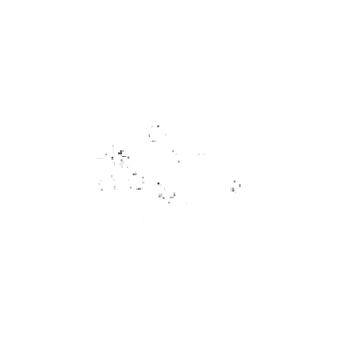 CCCCc1nc(Cl)c(COC(=O)N[C@H](COC(=O)CCCO[N+](=O)[O-])Cc2ccccc2)n1Cc1ccc(-c2ccccc2-c2nnn[nH]2)cc1